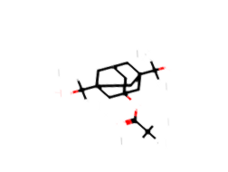 CC(C)(C)C(=O)OC12CC3CC(C(C)(C)O)(C1)CC(C(C)(C)O)(C3)C2